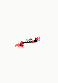 O=C(CCCCCCCCCCOCc1ccc([N+](=O)[O-])c(CO)c1)ON1C(=O)CC(S(=O)(=O)O)C1=O.[NaH]